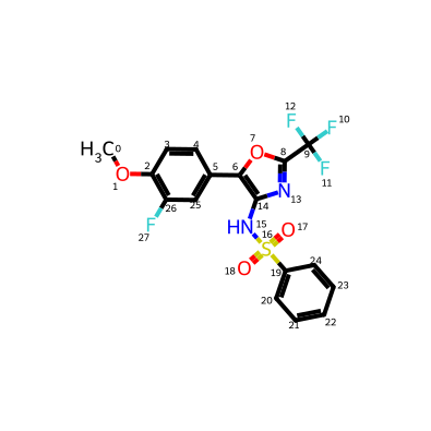 COc1ccc(-c2oc(C(F)(F)F)nc2NS(=O)(=O)c2ccccc2)cc1F